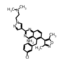 Cc1noc(C)c1-c1ccc2nc(-c3cnn(CCN(C)C)c3)nc(N)c2c1Cc1cccc(Cl)c1